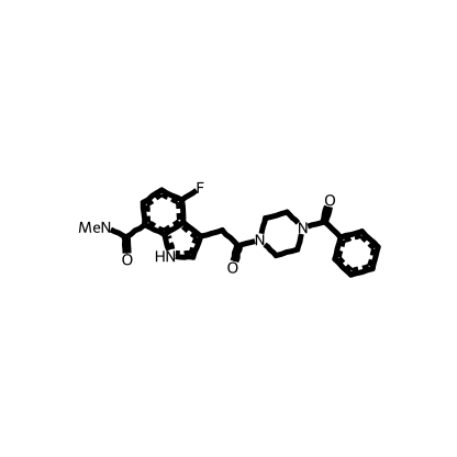 CNC(=O)c1ccc(F)c2c(CC(=O)N3CCN(C(=O)c4ccccc4)CC3)c[nH]c12